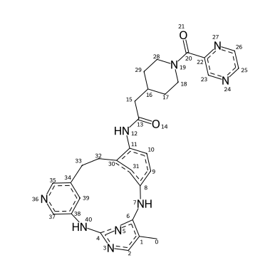 Cc1cnc2nc1Nc1ccc(NC(=O)CC3CCN(C(=O)c4cnccn4)CC3)c(c1)CCc1cncc(c1)N2